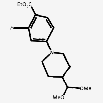 CCOC(=O)c1ccc(N2CCC(C(OC)OC)CC2)cc1F